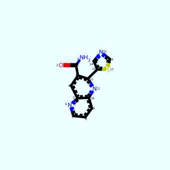 NC(=O)c1cc2ncccc2nc1-c1cncs1